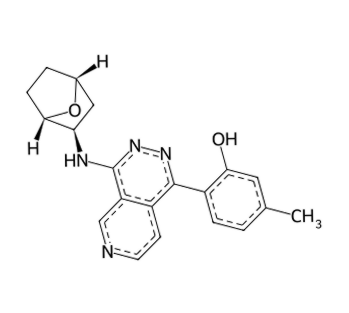 Cc1ccc(-c2nnc(N[C@@H]3C[C@H]4CC[C@@H]3O4)c3cnccc23)c(O)c1